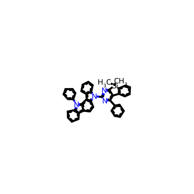 C[Si]1(C)c2ccccc2-c2c(-c3ccccc3)nc(-n3c4ccccc4c4c3ccc3c5ccccc5n(-c5ccccc5)c34)nc21